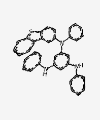 c1ccc(Nc2cc(Nc3ccccc3)cc(N(c3ccccc3)c3ccc4sc5ccccc5c4c3)c2)cc1